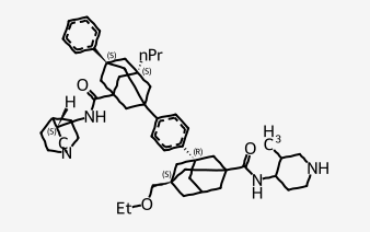 CCC[C@@]12CC3(C(=O)N[C@@H]4CN5CCC4CC5)CC(c4ccc([C@]56CC7CC(C(=O)NC8CCNCC8C)(C[C@](COCC)(C7)C5)C6)cc4)(C1)C[C@](c1ccccc1)(C3)C2